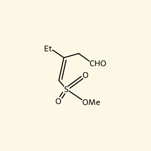 CCC(=CS(=O)(=O)OC)CC=O